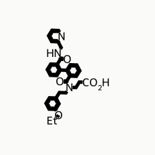 CCOc1cccc(CCN(CCC(=O)O)C(=O)c2ccccc2-c2ccccc2C(=O)NCc2ccccn2)c1